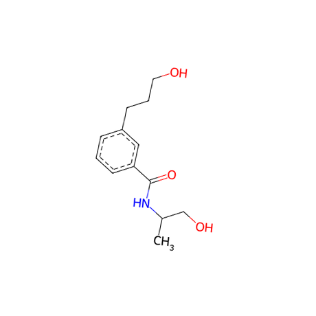 CC(CO)NC(=O)c1cccc(CCCO)c1